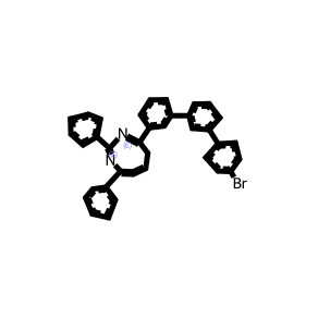 Brc1ccc(-c2cccc(-c3cccc(/C4=N/C(c5ccccc5)=N\C(c5ccccc5)=C=CC4)c3)c2)cc1